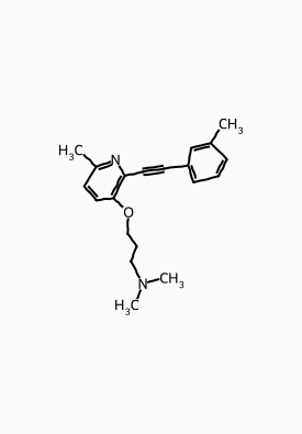 Cc1cccc(C#Cc2nc(C)ccc2OCCCN(C)C)c1